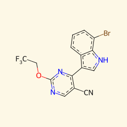 N#Cc1cnc(OCC(F)(F)F)nc1-c1c[nH]c2c(Br)cccc12